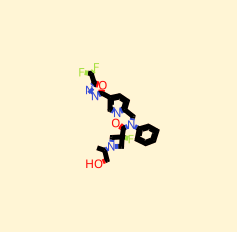 CC(CO)N1CC(F)(C(=O)N(Cc2ccc(-c3nnc(C(F)F)o3)cn2)c2ccccc2)C1